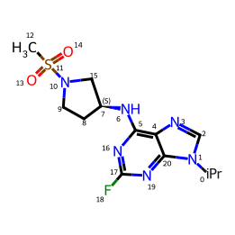 CC(C)n1cnc2c(N[C@H]3CCN(S(C)(=O)=O)C3)nc(F)nc21